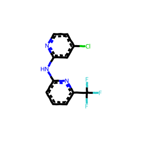 FC(F)(F)c1cccc(Nc2cc(Cl)ccn2)n1